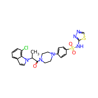 CC(C(=O)N1CCN(c2ccc(S(=O)(=O)Nc3nncs3)cc2)CC1)n1ccc2cccc(Cl)c21